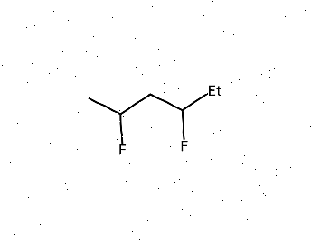 CCC(F)CC(C)F